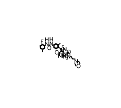 Cc1ccc(F)c(NC(=O)Nc2ccc(-c3snc(NC(=O)NCCCN4CCOCC4)c3C(N)=O)c(C)c2)c1